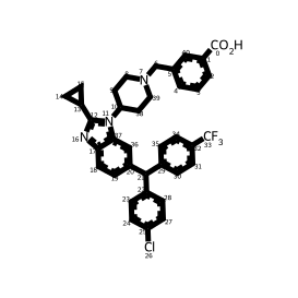 O=C(O)c1cccc(CN2CCC(n3c(C4CC4)nc4ccc(C(c5ccc(Cl)cc5)c5ccc(C(F)(F)F)cc5)cc43)CC2)c1